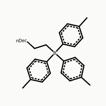 CCCCCCCCCCCC[B-](c1ccc(C)cc1)(c1ccc(C)cc1)c1ccc(C)cc1